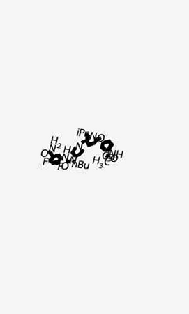 CCCCN(C(=O)Nc1cc(C(N)=O)c(F)cc1F)C1CCN(Cc2ccc(Oc3ccc(NS(C)(=O)=O)cc3)nc2C(C)C)CC1